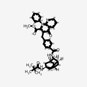 COC(=O)c1c(Cc2ccc(C(=O)N[C@@H]3[C@@H]4C[C@@H]5C[C@H]3C[C@](NC(=O)C(C)(C)C)(C5)C4)cc2)c(=O)c2cccnc2n1-c1ccccc1